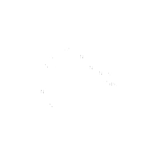 Cn1c2ccncc2c2ccc(-c3ccc(O[C@H]4C[C@H](OC5CCN(CCN6CCN(C(=O)OC(C)(C)C)CC6)CC5)C4)nc3)cc21